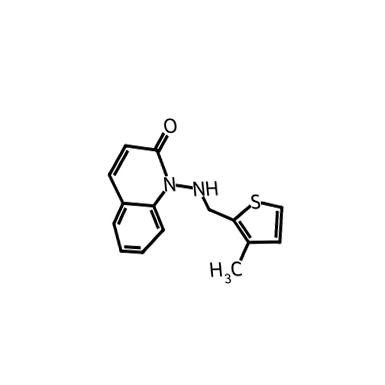 Cc1ccsc1CNn1c(=O)ccc2ccccc21